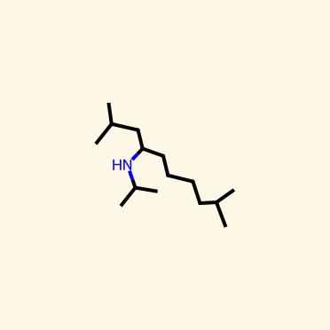 CC(C)CCCCC(CC(C)C)NC(C)C